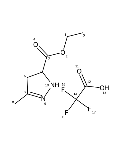 CCOC(=O)C1CC(C)=NN1.O=C(O)C(F)(F)F